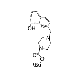 CC(C)(C)OC(=O)N1CCN(Cc2ccc3cccc(O)c3n2)CC1